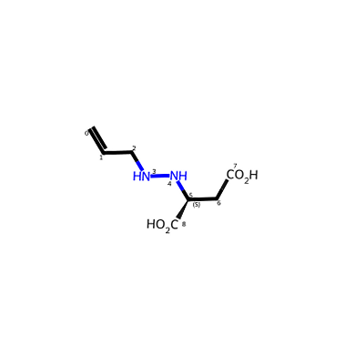 C=CCNN[C@@H](CC(=O)O)C(=O)O